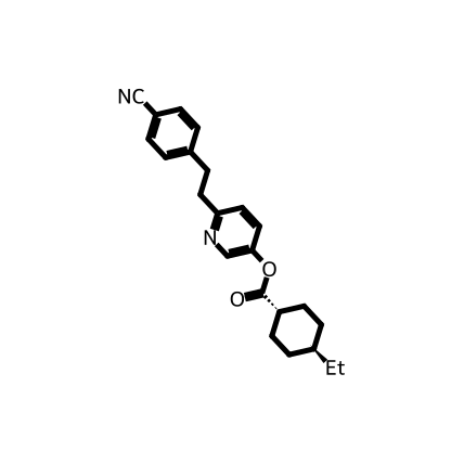 CC[C@H]1CC[C@H](C(=O)Oc2ccc(CCc3ccc(C#N)cc3)nc2)CC1